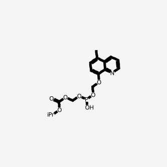 Cc1ccc(OCOP(O)OCOC(=O)OC(C)C)c2ncccc12